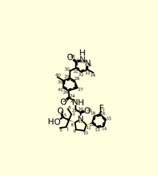 CCC(CC)(C(=O)O)[C@H]1CC[C@@H](c2cccc(F)c2)N1C(=O)CNC(=O)c1ccc(Cc2cc(C)n[nH]c2=O)c(C)c1